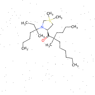 CCCCCCC(C)(CCCC)C(=O)[C@@H]1CS(C)(C)CN1C(C)(CC)CCCC